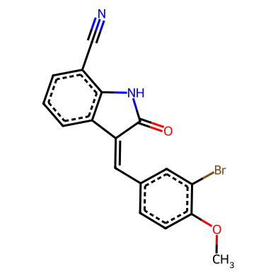 COc1ccc(C=C2C(=O)Nc3c(C#N)cccc32)cc1Br